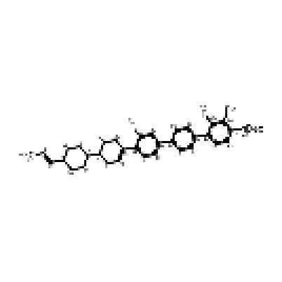 C/C=C/C1CCC(C2CC=C(c3ccc(-c4ccc(-c5ccc(CCCCCCCCCC)c(F)c5F)cc4)cc3F)CC2)CC1